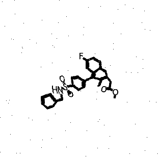 COC(=O)Cc1cc2ccc(F)cc2c(-c2ccc(S(=O)(=O)NCc3ccccc3)cc2)c1C